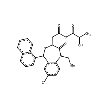 CC(O)C(=O)OC(=O)CC1SC(c2cccc3ccccc23)c2cc(Cl)ccc2N(CC(C)(C)C)C1=O